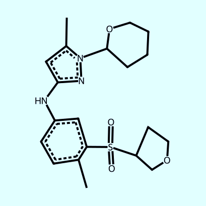 Cc1ccc(Nc2cc(C)n(C3CCCCO3)n2)cc1S(=O)(=O)C1CCOC1